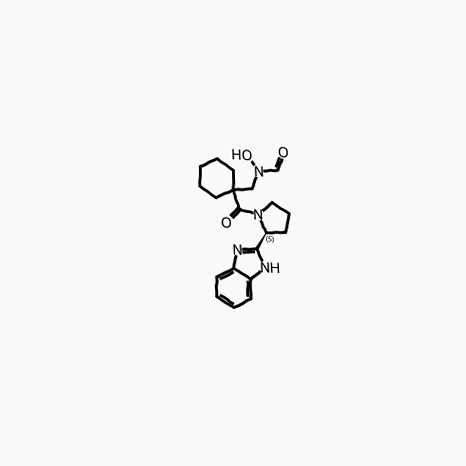 O=CN(O)CC1(C(=O)N2CCC[C@H]2c2nc3ccccc3[nH]2)CCCCC1